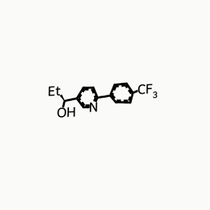 CC[C@H](O)c1ccc(-c2ccc(C(F)(F)F)cc2)nc1